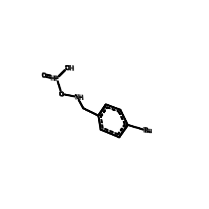 CCC(C)c1ccc(CNO[PH](=O)O)cc1